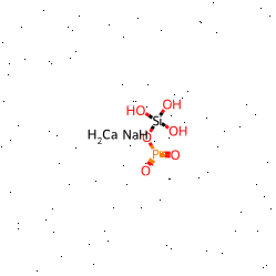 O=P(=O)O[Si](O)(O)O.[CaH2].[NaH]